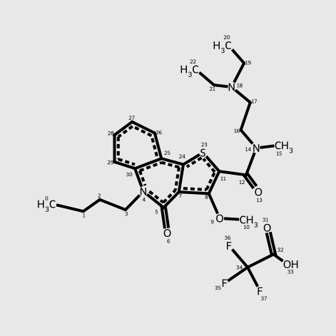 CCCCn1c(=O)c2c(OC)c(C(=O)N(C)CCN(CC)CC)sc2c2ccccc21.O=C(O)C(F)(F)F